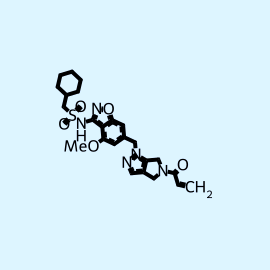 C=CC(=O)N1Cc2cnn(Cc3cc(OC)c4c(NS(=O)(=O)CC5CCCCC5)noc4c3)c2C1